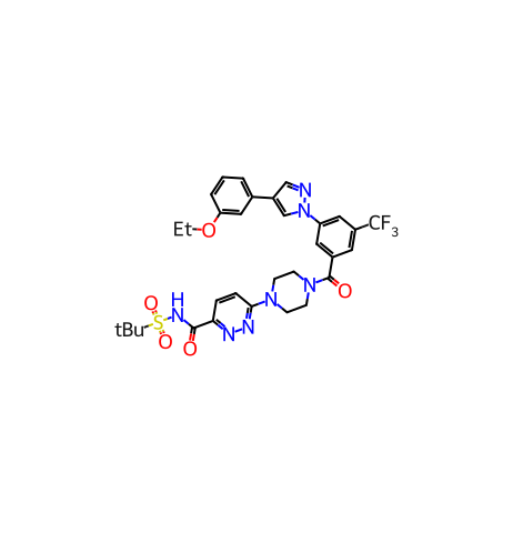 CCOc1cccc(-c2cnn(-c3cc(C(=O)N4CCN(c5ccc(C(=O)NS(=O)(=O)C(C)(C)C)nn5)CC4)cc(C(F)(F)F)c3)c2)c1